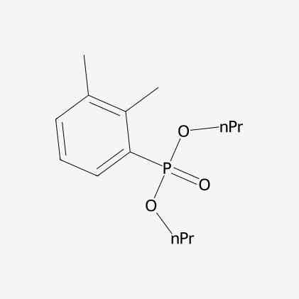 CCCOP(=O)(OCCC)c1cccc(C)c1C